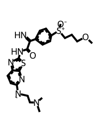 COCCC[S+]([O-])c1ccc(C(=N)C(=O)Nc2nc3ccc(N(C)CCN(C)C)nc3s2)cc1